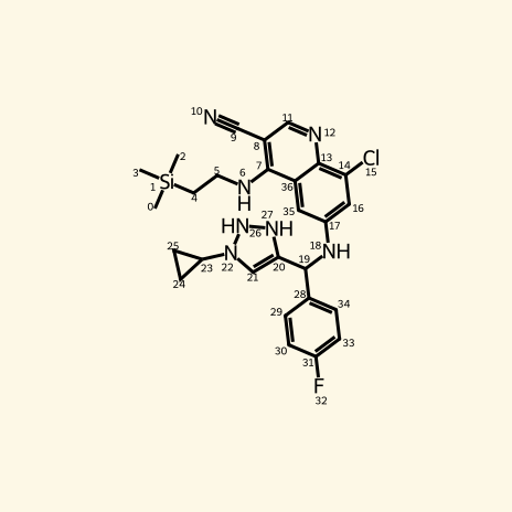 C[Si](C)(C)CCNc1c(C#N)cnc2c(Cl)cc(NC(C3=CN(C4CC4)NN3)c3ccc(F)cc3)cc12